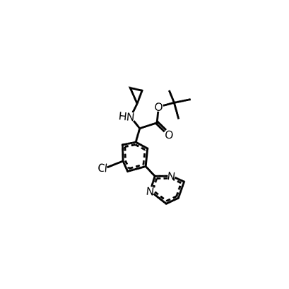 CC(C)(C)OC(=O)C(NC1CC1)c1cc(Cl)cc(-c2ncccn2)c1